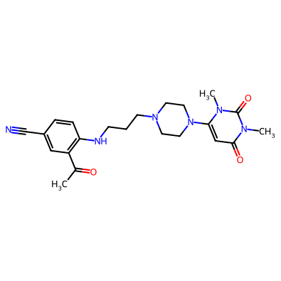 CC(=O)c1cc(C#N)ccc1NCCCN1CCN(c2cc(=O)n(C)c(=O)n2C)CC1